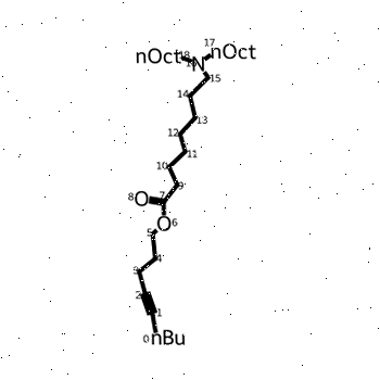 CCCCC#CCCCOC(=O)CCCCCCCN(CCCCCCCC)CCCCCCCC